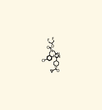 O=C(OC(CF)CF)N1Cc2cc(Cl)ccc2-n2c(nnc2C2CCN(C(=O)C3CC3)CC2)C1